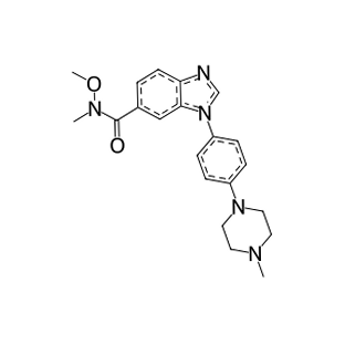 CON(C)C(=O)c1ccc2ncn(-c3ccc(N4CCN(C)CC4)cc3)c2c1